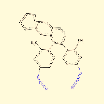 Cc1cc(N=[N+]=[N-])ccc1-c1ccc2cc3ccccc3cc2c1-c1ccc(N=[N+]=[N-])cc1C